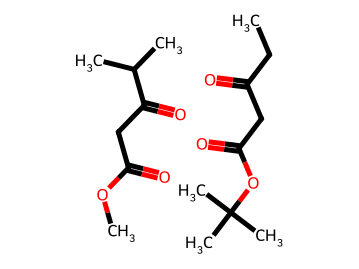 CCC(=O)CC(=O)OC(C)(C)C.COC(=O)CC(=O)C(C)C